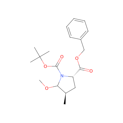 COC1[C@H](C)C[C@@H](C(=O)OCc2ccccc2)N1C(=O)OC(C)(C)C